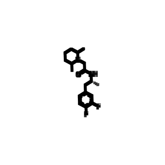 CC1CCCC(C)N1CC(=O)N[C@H](C)Cc1ccc(F)c(F)c1